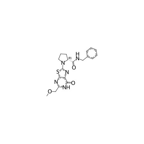 COCc1nc2sc(N3CCC[C@@H]3C(=O)NCc3ccccc3)nc2c(=O)[nH]1